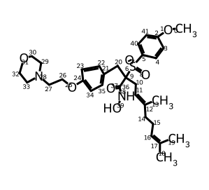 COc1ccc(S(=O)(=O)C(C/C=C(\C)CCC=C(C)C)(Cc2ccc(OCCN3CCOCC3)cc2)C(=O)NO)cc1